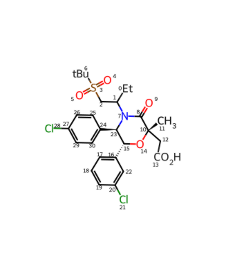 CCC(CS(=O)(=O)C(C)(C)C)N1C(=O)[C@](C)(CC(=O)O)O[C@H](c2cccc(Cl)c2)[C@H]1c1ccc(Cl)cc1